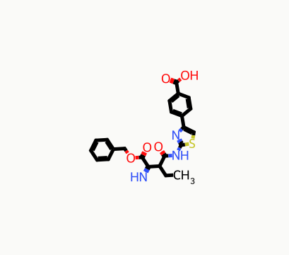 CCC(C(=N)C(=O)OCc1ccccc1)C(=O)Nc1nc(-c2ccc(C(=O)O)cc2)cs1